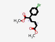 COC(=O)/C=C\C=C(\C(=O)OC)c1ccc(Br)cc1